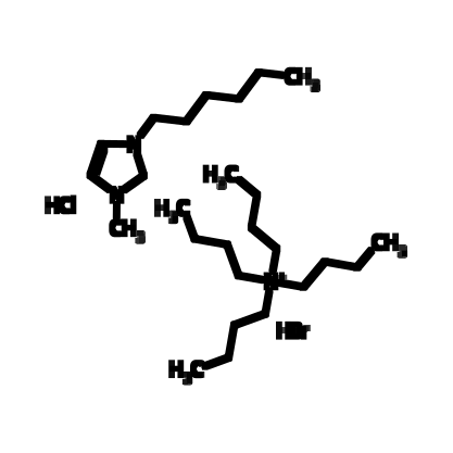 Br.CCCCCCN1C=CN(C)C1.CCCC[N+](CCCC)(CCCC)CCCC.Cl